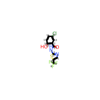 O=C(Nc1ncc(C(F)(F)F)s1)c1cc(Cl)ccc1O